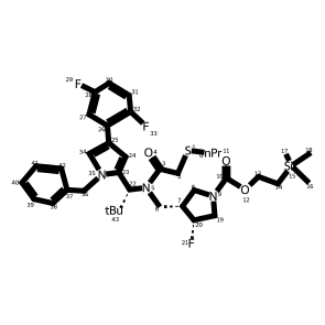 CCCSCC(=O)N(C[C@@H]1CN(C(=O)OCC[Si](C)(C)C)C[C@@H]1F)[C@@H](c1cc(-c2cc(F)ccc2F)cn1Cc1ccccc1)C(C)(C)C